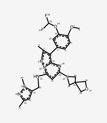 COc1ccc(-c2c(C)nn3c(NCc4cc(C)nn4C)cc(N4CC5(COC5)C4)nc23)cc1OC(F)F